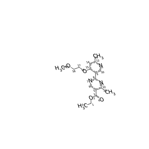 CCOC(=O)c1cnc(-c2cnc(C)cc2OCCOC)nc1C